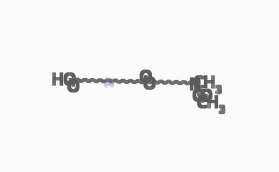 CC(=O)OCCN(C)CCCCCCCCCCCOC(=O)CCCCCCCC/C=C/CCCCCCCCC(=O)O